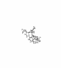 CC(F)/N=C(C#CC1(O)CC(C#N)C1)\C=C/Cc1ccc(Cl)c2c(NS(C)(=O)=O)nn(C)c12